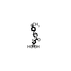 COc1ccc(N2CCN(C(=O)c3cc(B(O)O)cs3)CC2)cc1